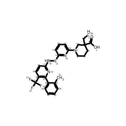 CCC1(C(=O)O)CCCN(c2cccc(SNc3ccc(C(F)(F)F)c(-c4ccccc4C)n3)n2)C1